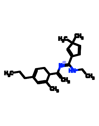 C=C(/N=C(\NCC)C1=CC(C)(C)C=C1)C1CC=C(CCC)C=C1C